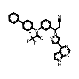 N#CCC(c1cccc(N(C(=O)C(F)(F)F)c2ccc(-c3ccccc3)cc2)c1)n1cc(-c2ncnc3[nH]ccc23)cn1